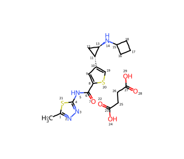 Cc1nnc(NC(=O)c2cc([C@@H]3C[C@H]3NC3CCC3)cs2)s1.O=C(O)CCC(=O)O